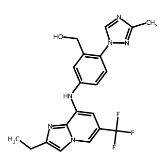 CCc1cn2cc(C(F)(F)F)cc(Nc3ccc(-n4cnc(C)n4)c(CO)c3)c2n1